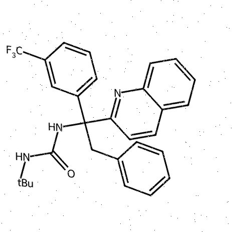 CC(C)(C)NC(=O)NC(Cc1ccccc1)(c1cccc(C(F)(F)F)c1)c1ccc2ccccc2n1